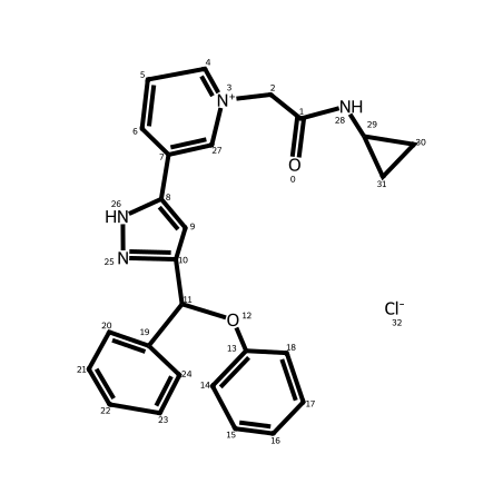 O=C(C[n+]1cccc(-c2cc(C(Oc3ccccc3)c3ccccc3)n[nH]2)c1)NC1CC1.[Cl-]